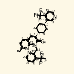 Cc1ccc2cc([C@H]3CC[C@H](c4cnccc4C(F)(F)F)CC3)c(=O)n(Cc3ncccc3C(C)(F)F)c2n1